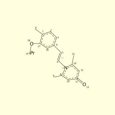 Cc1ccc(/C=C/n2c(C)cc(=O)cc2C)cc1OC(C)C